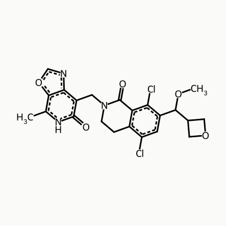 COC(c1cc(Cl)c2c(c1Cl)C(=O)N(Cc1c(=O)[nH]c(C)c3ocnc13)CC2)C1COC1